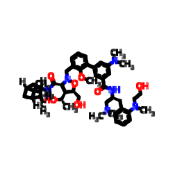 COc1c(CN2O[C@@H](CO)[C@@H]([C@H](C)O)[C@H]2C(=O)N[C@H]2C[C@H]3C[C@@H]([C@@H]2C)C3(C)C)cccc1-c1cc(C(=O)N[C@@H](Cc2ccccc2N(C)CCO)CN(C)C)cc(N(C)C)c1